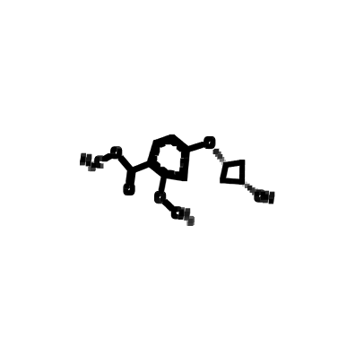 COC(=O)c1ccc(O[C@H]2C[C@@H](O)C2)cc1OC